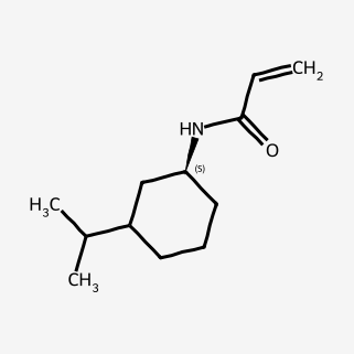 C=CC(=O)N[C@H]1CCCC(C(C)C)C1